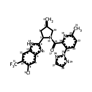 C=C1CC(c2nc3cc(Cl)c(C(F)(F)F)cc3[nH]2)N(C(=O)c2nc(C)ccc2-n2nccn2)C1